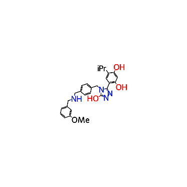 COc1cccc(CNCc2ccc(Cn3c(O)nnc3-c3cc(C(C)C)c(O)cc3O)cc2)c1